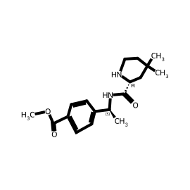 COC(=O)c1ccc([C@H](C)NC(=O)[C@H]2CC(C)(C)CCN2)cc1